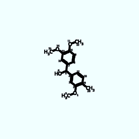 COc1cc(C(O)c2ccc(OC)c(OC)c2)ccc1C